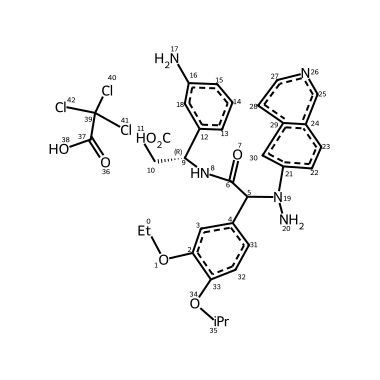 CCOc1cc(C(C(=O)N[C@H](CC(=O)O)c2cccc(N)c2)N(N)c2ccc3cnccc3c2)ccc1OC(C)C.O=C(O)C(Cl)(Cl)Cl